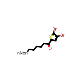 CCCCCCCCCCCCCCC(=O)c1cc(Br)c(Br)s1